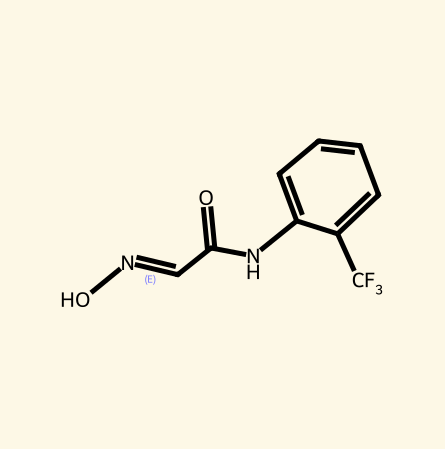 O=C(/C=N/O)Nc1ccccc1C(F)(F)F